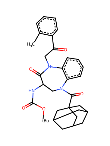 Cc1ccccc1C(=O)CN1C(=O)C(NC(=O)OC(C)(C)C)CN(C(=O)C23CC4CC(CC(C4)C2)C3)c2ccccc21